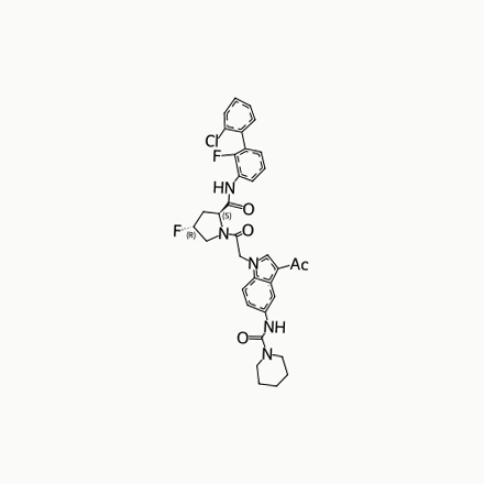 CC(=O)c1cn(CC(=O)N2C[C@H](F)C[C@H]2C(=O)Nc2cccc(-c3ccccc3Cl)c2F)c2ccc(NC(=O)N3CCCCC3)cc12